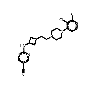 N#Cc1cnc(NC2CC(CCN3CCN(c4cccc(Cl)c4Cl)CC3)C2)nc1